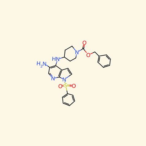 Nc1cnc2c(ccn2S(=O)(=O)c2ccccc2)c1NC1CCN(C(=O)OCc2ccccc2)CC1